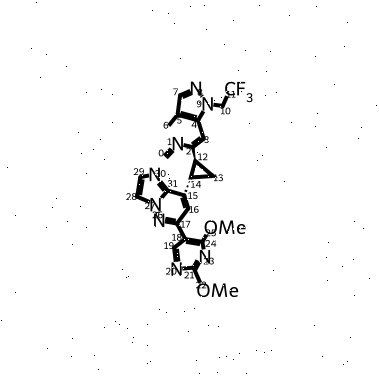 C=N/C(=C\c1c(C)cnn1CC(F)(F)F)[C@H]1C[C@@H]1c1cc(-c2cnc(OC)nc2OC)nn2ccnc12